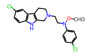 O=CON(CCN1CCc2c([nH]c3ccc(Cl)cc23)C1)c1ccc(Cl)cc1